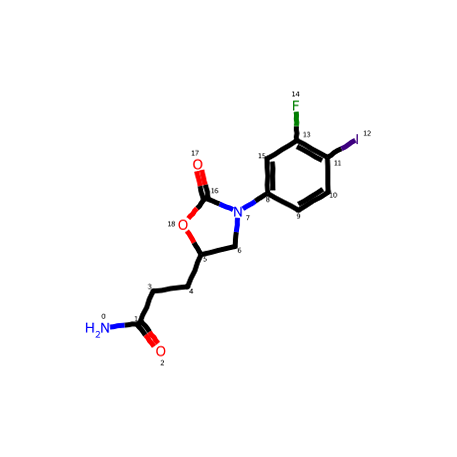 NC(=O)CCC1CN(c2ccc(I)c(F)c2)C(=O)O1